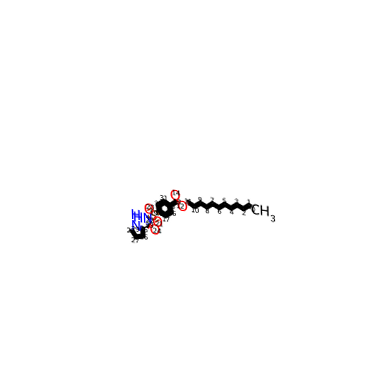 CCCCCCCCCCCCOC(=O)c1ccc(S(=O)(=O)NC(=O)[C@@H]2CCCN2)cc1